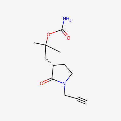 C#CCN1CC[C@@H](CC(C)(C)OC(N)=O)C1=O